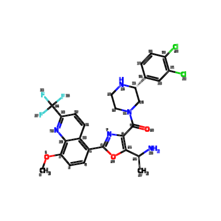 COc1ccc(-c2nc(C(=O)N3CCN[C@H](c4ccc(Cl)c(Cl)c4)C3)c(C(C)N)o2)c2ccc(C(F)(F)F)nc12